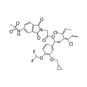 C=C/C(Cl)=C(C[C@H](OC(=O)CN1C(=O)c2ccc(NS(C)(=O)=O)cc2C1=O)c1ccc(OC(F)F)c(OCC2CC2)c1)\C(Cl)=C/C